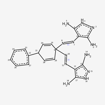 Nc1n[nH]c(N)c1/N=N/C1(/N=N/c2c(N)n[nH]c2N)C=CC(c2ccccc2)C=C1